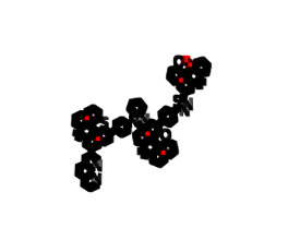 CC1(C)c2ccccc2C2(c3ccccc3Oc3ccccc32)c2ccc(-c3nnc(-c4ccc(-c5cccc6c5Oc5ccccc5C65c6ccccc6C(C)(C)c6ccc(-c7nc8ccccc8n7-c7ccc(-c8cccc9c8Sc8ccccc8C98c9ccccc9C(C)(C)c9cc(-c%10cnc%11c(ccc%12cccnc%12%11)c%10)ccc98)cc7)cc65)cc4)s3)cc21